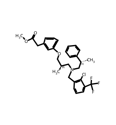 COC(=O)Cc1cccc(OC[C@H](C)CN(Cc2cccc(C(F)(F)F)c2Cl)C[C@@H](C)c2ccccc2)c1